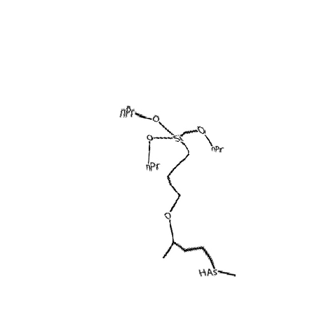 CCCO[Si](CCCOC(C)C[AsH]C)(OCCC)OCCC